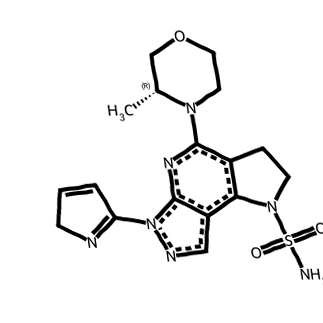 C[C@@H]1COCCN1c1nc2c(cnn2C2=NCC=C2)c2c1CCN2S(N)(=O)=O